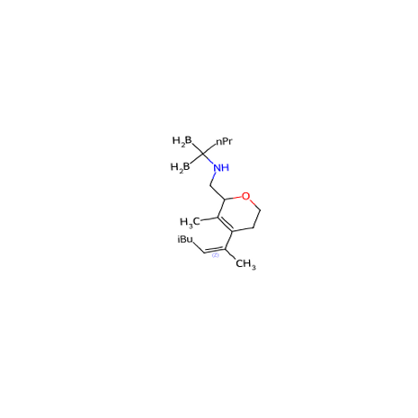 BC(B)(CCC)NCC1OCCC(/C(C)=C\C(C)CC)=C1C